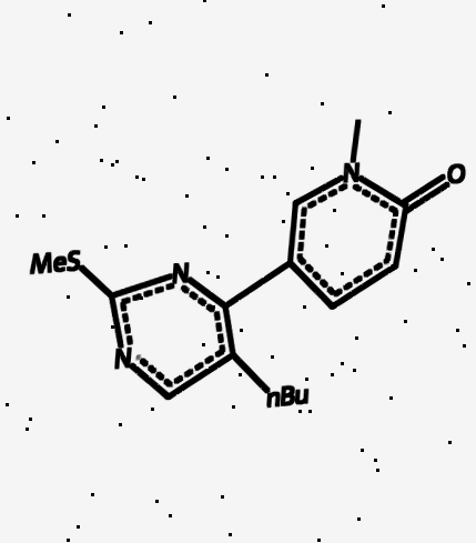 CCCCc1cnc(SC)nc1-c1ccc(=O)n(C)c1